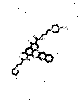 CN1CCN(CCCNC(=O)c2cn3c4c(c(NC(=O)CCN5CCCC5)c(F)cc4c2=O)Oc2cc4ccccc4cc2-3)CC1